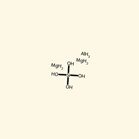 O[Si](O)(O)O.[AlH3].[MgH2].[MgH2]